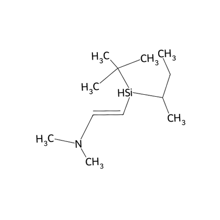 CCC(C)[SiH](C=CN(C)C)C(C)(C)C